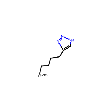 CCCCCCCCCc1c[nH]nn1